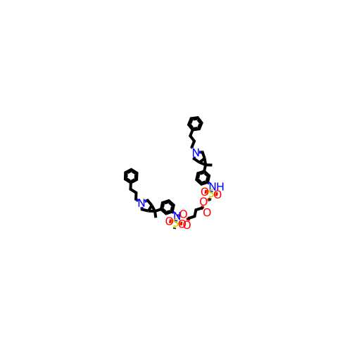 CC1(c2cccc(NS(=O)(=O)COC(=O)CCC(=O)ON(c3cccc(C4(C)C5CN(CCCc6ccccc6)CC54)c3)S(C)(=O)=O)c2)C2CN(CCCc3ccccc3)CC21